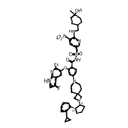 CCc1nc2[nH]cc(F)c2cc1Oc1cc(N2CCC3(CC2)CN([C@H]2CCC[C@H]2c2ccccc2C2CC2)C3)ccc1C(=O)NS(=O)(=O)c1cnc(NCC2CCC(C)(O)CC2)c([N+](=O)[O-])c1